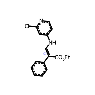 CCOC(=O)/C(=C\Nc1ccnc(Cl)c1)c1ccccc1